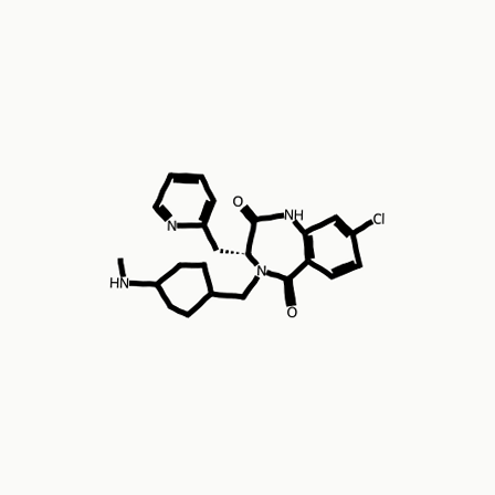 CNC1CCC(CN2C(=O)c3ccc(Cl)cc3NC(=O)[C@H]2Cc2ccccn2)CC1